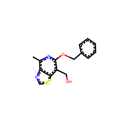 Cc1nc(OCc2ccccc2)c(CO)c2scnc12